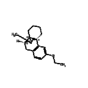 CCOc1ccc2c(c1)[C@]13CCCC[C@@H]1[C@H](C2)C(C)CC3